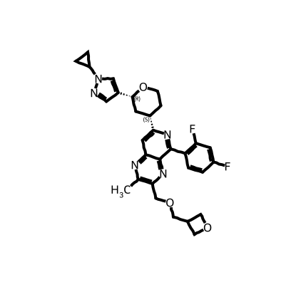 Cc1nc2cc([C@H]3CCO[C@@H](c4cnn(C5CC5)c4)C3)nc(-c3ccc(F)cc3F)c2nc1COCC1COC1